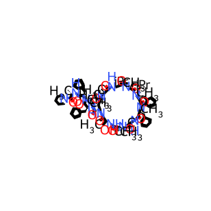 CC(C)C[C@H]1C(=O)N(C)[C@@H](Cc2ccccc2)C(=O)N(C)[C@@H](Cc2ccccc2)C(=O)NCC(=O)N(C)[C@@H](C)C(=O)N[C@@H]([C@@H](C)O)C(=O)N[C@H](C(=O)N(C)[C@@H](Cc2ccccc2)C(=O)N(C)[C@@H](Cc2ccccc2)C(=O)N[C@@H](C)C(=O)N2CCCCC2)CC(=O)N(C)[C@@H](C)C(=O)N[C@@H](C(C)C)C(=O)N1C